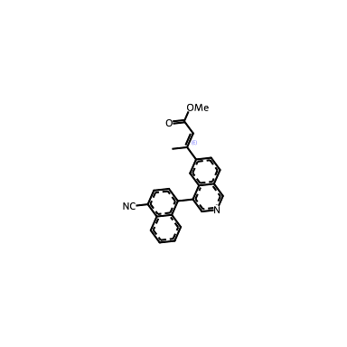 COC(=O)/C=C(\C)c1ccc2cncc(-c3ccc(C#N)c4ccccc34)c2c1